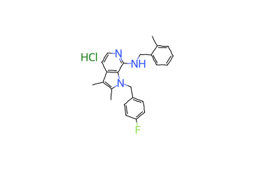 Cc1ccccc1CNc1nccc2c(C)c(C)n(Cc3ccc(F)cc3)c12.Cl